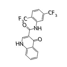 O=C(Nc1cc(C(F)(F)F)ccc1C(F)(F)F)c1c[nH]c2ccccc2c1=O